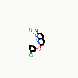 Nc1ccc2ccc(Oc3cccc(Cl)c3)nc2n1